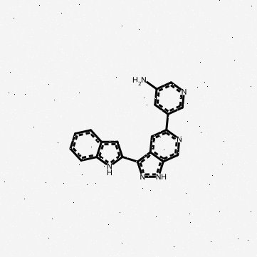 Nc1cncc(-c2cc3c(-c4cc5ccccc5[nH]4)n[nH]c3cn2)c1